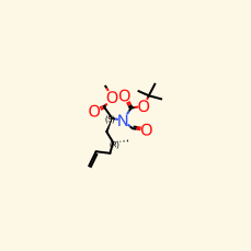 C=CC[C@@H](C)C[C@@H](C(=O)OC)N(C=O)C(=O)OC(C)(C)C